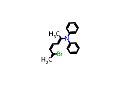 C=C(Br)/C=C\C=C(/C)N(c1ccccc1)c1ccccc1